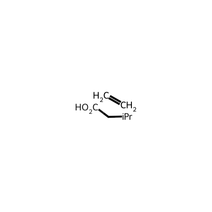 C=C.CC(C)CC(=O)O